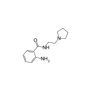 Nc1ccccc1C(=O)NCCN1CCCC1